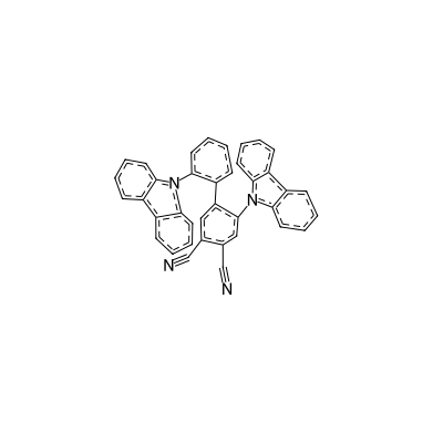 N#Cc1cc(-c2ccccc2-n2c3ccccc3c3ccccc32)c(-n2c3ccccc3c3ccccc32)cc1C#N